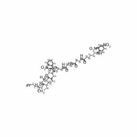 CC(C)CCC[C@@H](C)[C@H]1CCC2C3CC=C4C[C@@H](N(CCCNC(=O)CCNC(=O)CCNC(=O)CCCCCNc5ccc([N+](=O)[O-])cc5[N+](=O)[O-])S(=O)(=O)c5ccccc5[N+](=O)[O-])CC[C@]4(C)C3CC[C@@]21C